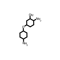 NC1CCC(OC2CCC(N)C(O)C2)CC1